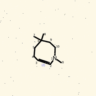 CN1/C=C\CCC(C)(C)CC1